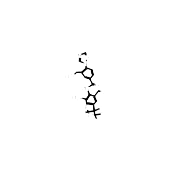 CCc1cc(C(F)(C(F)(F)F)C(F)(F)F)cc(C)c1NC(=O)c1ccc(-n2cncn2)c(CN)c1